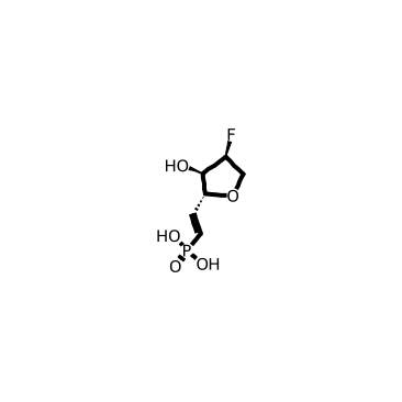 O=P(O)(O)/C=C/[C@H]1OC[C@H](F)[C@@H]1O